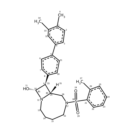 Cc1ccc(-c2ccc([C@@H]3[C@@H](O)N4CCCCN(S(=O)(=O)c5ccccc5C)C[C@@H]34)cc2)cc1C